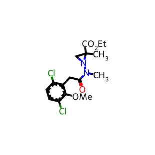 CCOC(=O)C1(C)CN1N(C)C(=O)Cc1c(Cl)ccc(Cl)c1OC